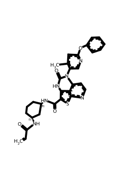 C=CC(=O)N[C@H]1CCC[C@@H](NC(=O)c2sc3nccc4c3c2NC(=O)N4c2cnc(Oc3ccccc3)cc2C)C1